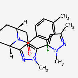 Cc1ccc(C(=O)N2[C@@H]3CCC[C@H]2c2nn(C)c(-c4cc(C)nn4C)c2C3)c(F)c1